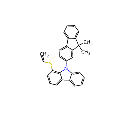 C=CSc1cccc2c3ccccc3n(-c3ccc4c(c3)C(C)(C)c3ccccc3-4)c12